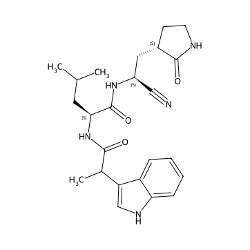 CC(C)C[C@H](NC(=O)C(C)c1c[nH]c2ccccc12)C(=O)N[C@H](C#N)C[C@@H]1CCNC1=O